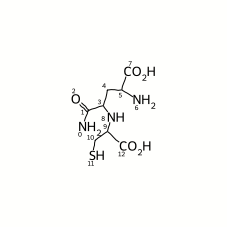 NC(=O)C(CC(N)C(=O)O)NC(CS)C(=O)O